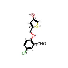 O=Cc1cc(Cl)ccc1OCc1cc(Br)cs1